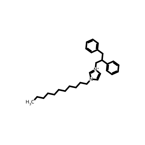 CCCCCCCCCCCn1cc[n+](CC(Cc2ccccc2)c2ccccc2)c1